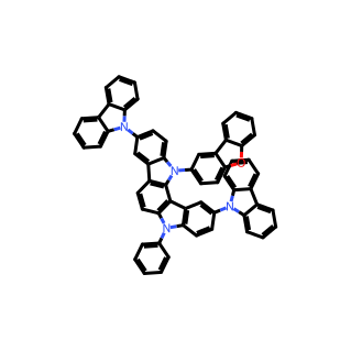 c1ccc(-n2c3ccc(-n4c5ccccc5c5ccccc54)cc3c3c2ccc2c4cc(-n5c6ccccc6c6ccccc65)ccc4n(-c4ccc5oc6ccccc6c5c4)c23)cc1